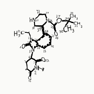 CCn1c(=O)n(C2CCC(=O)NC2=O)c2cccc(C3CNCCN3C(=O)OC(C)(C)C)c21